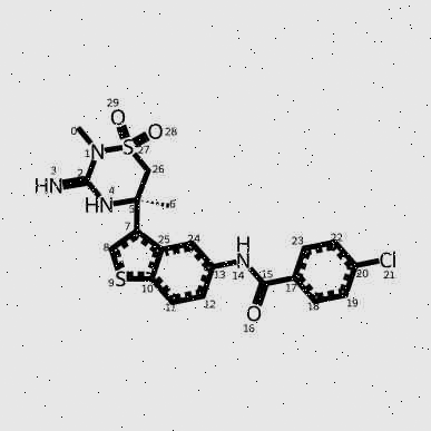 CN1C(=N)N[C@](C)(c2csc3ccc(NC(=O)c4ccc(Cl)cc4)cc23)CS1(=O)=O